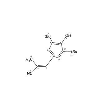 CC(C#N)=Cc1cc(C(C)(C)C)c(O)c(C(C)(C)C)c1